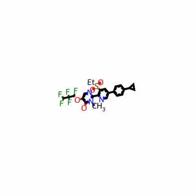 CCS(=O)(=O)c1cc(-c2ccc(C3CC3)cc2)cnc1-c1ncc(OC(F)C(F)(F)C(F)F)c(=O)n1C